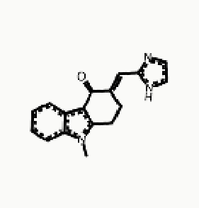 Cn1c2c(c3ccccc31)C(=O)C(=Cc1ncc[nH]1)CC2